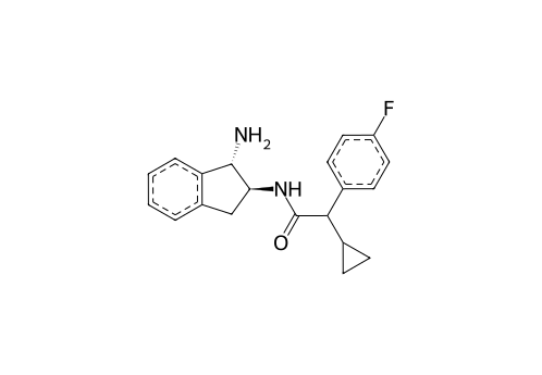 N[C@H]1c2ccccc2C[C@@H]1NC(=O)C(c1ccc(F)cc1)C1CC1